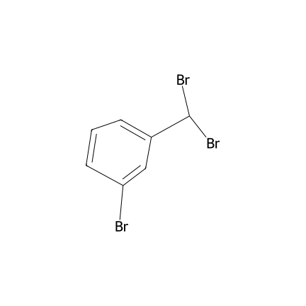 Brc1cccc(C(Br)Br)c1